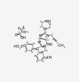 CC#CCn1c(N2CCNCC2)nc2nc(Oc3ccc(C(=O)O)cc3)n(Cc3ccccc3C#N)c(=O)c21.O=C(O)C(F)(F)F